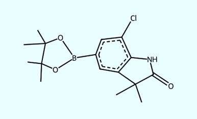 CC1(C)C(=O)Nc2c(Cl)cc(B3OC(C)(C)C(C)(C)O3)cc21